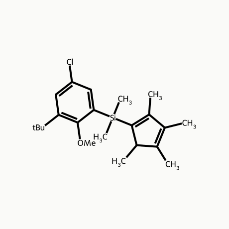 COc1c(C(C)(C)C)cc(Cl)cc1[Si](C)(C)C1=C(C)C(C)=C(C)C1C